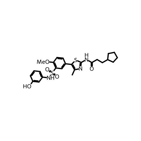 COc1ccc(-c2sc(NC(=O)CCC3CCCC3)nc2C)cc1S(=O)(=O)Nc1cccc(O)c1